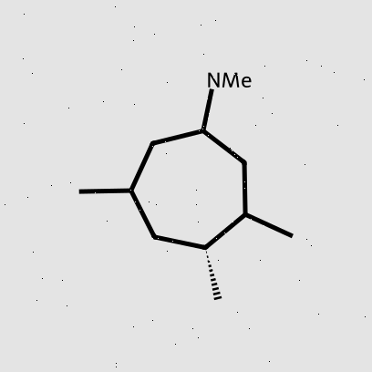 CNC1CC(C)C[C@@H](C)C(C)C1